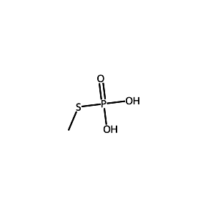 CSP(=O)(O)O